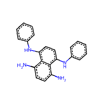 Nc1ccc(N)c2c(Nc3ccccc3)ccc(Nc3ccccc3)c12